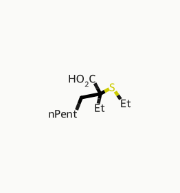 CCCCCCC(CC)(SCC)C(=O)O